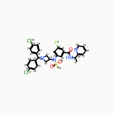 CC(NC(=O)c1cc(F)cc(N(C2CN(C(c3ccc(Cl)cc3)c3ccc(Cl)cc3)C2)S(C)(=O)=O)c1)c1ccccn1